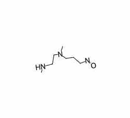 CNCCN(C)CCCN=O